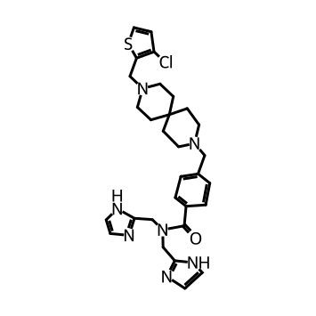 O=C(c1ccc(CN2CCC3(CC2)CCN(Cc2sccc2Cl)CC3)cc1)N(Cc1ncc[nH]1)Cc1ncc[nH]1